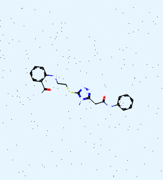 CCn1c(CC(=O)Nc2ccccc2)nnc1SCCNc1ccccc1C(=O)OC